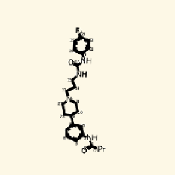 CC(C)C(=O)Nc1cccc(C2CCN(CCCNC(=O)Nc3ccc(F)cc3)CC2)c1